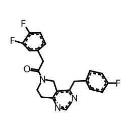 O=C(Cc1ccc(F)c(F)c1)N1CCc2ncnc(Cc3ccc(F)cc3)c2C1